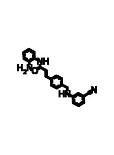 N#Cc1cccc(NCc2ccc(/C=C/C(=O)Nc3ccccc3N)cc2)c1